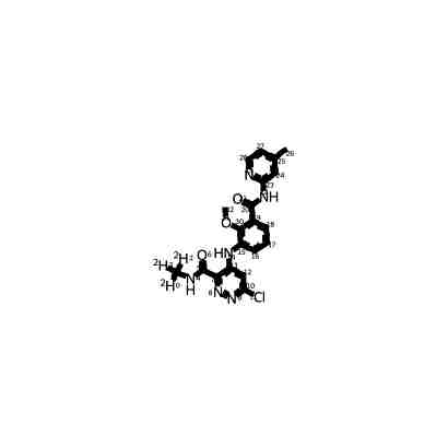 [2H]C([2H])([2H])NC(=O)c1nnc(Cl)cc1Nc1cccc(C(=O)Nc2cc(C)ccn2)c1OC